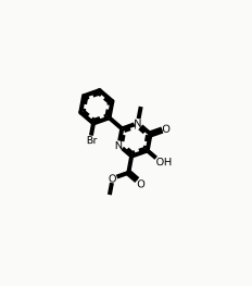 COC(=O)c1nc(-c2ccccc2Br)n(C)c(=O)c1O